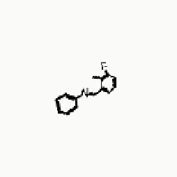 Cc1c(F)cccc1C=Nc1ccccc1